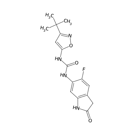 CC(C)(C)c1cc(NC(=O)Nc2cc3c(cc2F)CC(=O)N3)on1